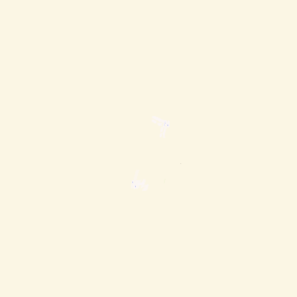 Cc1ccnc(C(C)(F)F)c1N